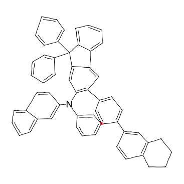 c1ccc(N(c2ccc3ccccc3c2)c2cc3c(cc2-c2ccc(-c4ccc5c(c4)CCCC5)cc2)-c2ccccc2C3(c2ccccc2)c2ccccc2)cc1